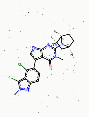 Cn1nc2ccc(-c3c[nH]c4nc(N5[C@H]6CC[C@@H]5[C@](C)(N)C6)n(C)c(=O)c34)c(Cl)c2c1Cl